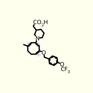 C/C1=C/C(N2CCCC(CC(=O)O)C2)=C\C(OCc2ccc(OC(F)(F)F)cc2)=C/CC1